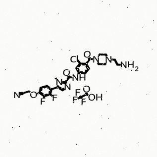 Cn1c(-c2ccc(OCC#N)c(F)c2F)cnc1C(=O)Nc1ccc(C(=O)N2CCN(CCN)CC2)c(Cl)c1.O=C(O)C(F)(F)F